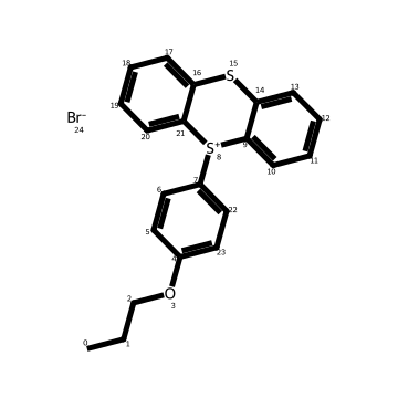 CCCOc1ccc([S+]2c3ccccc3Sc3ccccc32)cc1.[Br-]